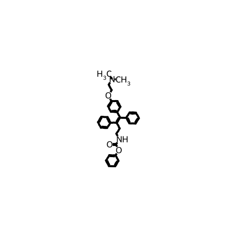 CN(C)CCOc1ccc(/C(=C(/CCNC(=O)Oc2ccccc2)c2ccccc2)c2ccccc2)cc1